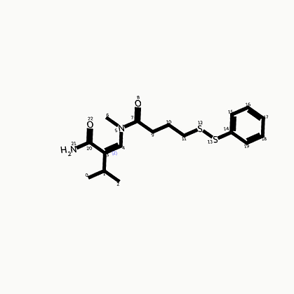 CC(C)/C(=C/N(C)C(=O)CCCSSc1ccccc1)C(N)=O